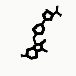 Cn1c(=O)n(Cc2ccc(-c3nnc(C(F)F)o3)cc2)c2cc(F)ccc21